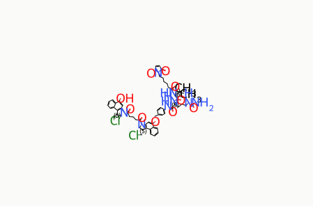 CC(C)[C@H](NC(=O)CCCCCN1C(=O)C=CC1=O)C(=O)N[C@@H](CCCNC(N)=O)C(=O)Nc1ccc(COc2cc3c(c4ccccc24)[C@H](CCl)CN3C(=O)CCCC(=O)N2C[C@@H](CCl)c3c2cc(O)c2ccccc32)cc1